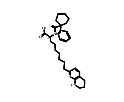 O=C(O)[C@H](CCCCCCCc1ccc2c(n1)NCCC2)NC(=O)C1(c2ccccc2)CCCCC1